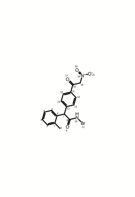 Cc1ccccc1C(C(=O)NBr)c1ccc(C(=O)C[N+](=O)[O-])cc1